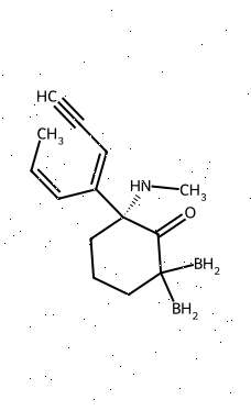 BC1(B)CCC[C@@](NC)(C(/C=C\C)=C/C#C)C1=O